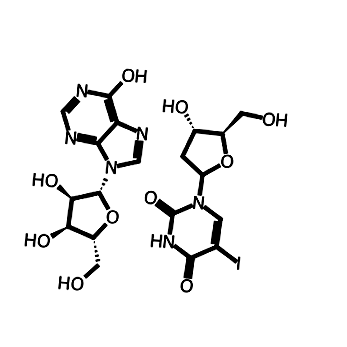 O=c1[nH]c(=O)n(C2C[C@H](O)[C@@H](CO)O2)cc1I.OC[C@H]1O[C@@H](n2cnc3c(O)ncnc32)[C@H](O)[C@@H]1O